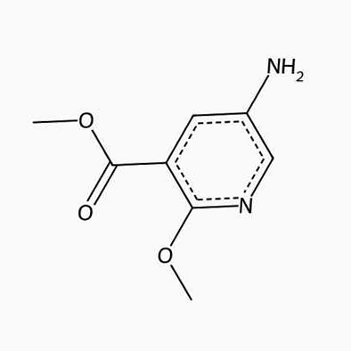 COC(=O)c1cc(N)cnc1OC